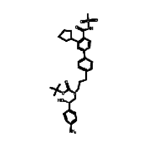 CC(C)(C)OC(=O)N(CCCc1ccc(-c2ccc(C(=O)NS(C)(=O)=O)c(C3CCCC3)c2)cc1)C[C@H](O)c1ccc(N)cc1